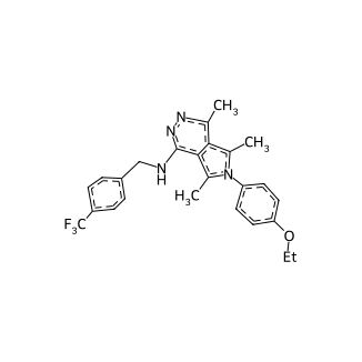 CCOc1ccc(-n2c(C)c3c(C)nnc(NCc4ccc(C(F)(F)F)cc4)c3c2C)cc1